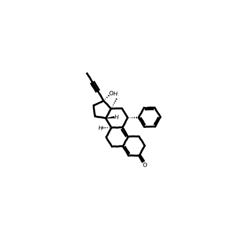 CC#C[C@]1(O)CC[C@H]2[C@@H]3CCC4=CC(=O)CCC4=C3[C@@H](c3ccccc3)C[C@@]21C